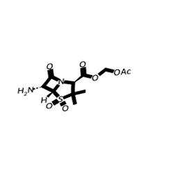 CC(=O)OCOC(=O)[C@@H]1N2C(=O)[C@@H](N)[C@H]2S(=O)(=O)C1(C)C